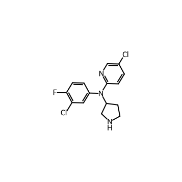 Fc1ccc(N(c2ccc(Cl)cn2)C2CCNC2)cc1Cl